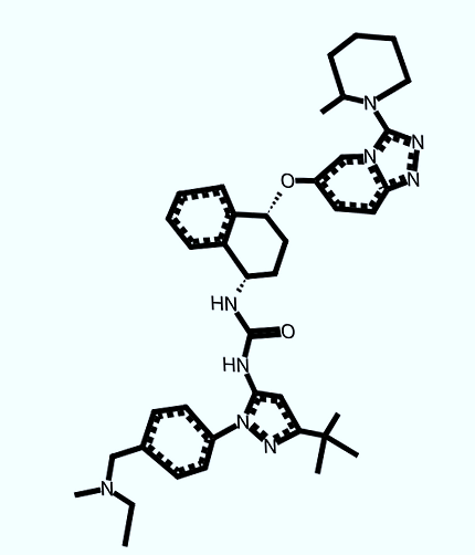 CCN(C)Cc1ccc(-n2nc(C(C)(C)C)cc2NC(=O)N[C@H]2CC[C@@H](Oc3ccc4nnc(N5CCCCC5C)n4c3)c3ccccc32)cc1